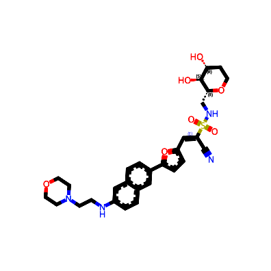 N#C/C(=C\c1ccc(-c2ccc3cc(NCCN4CCOCC4)ccc3c2)o1)S(=O)(=O)NC[C@H]1OCC[C@@H](O)[C@@H]1O